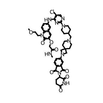 CNC(=O)COc1cc2cc(Nc3nc(N4CCC(CN5CCC6(CC5)CN(c5ccc7c(c5)C(=O)N(C5CCC(=O)NC5=O)C7=O)C6)CC4)ncc3Cl)ccc2n(CCOC)c1=O